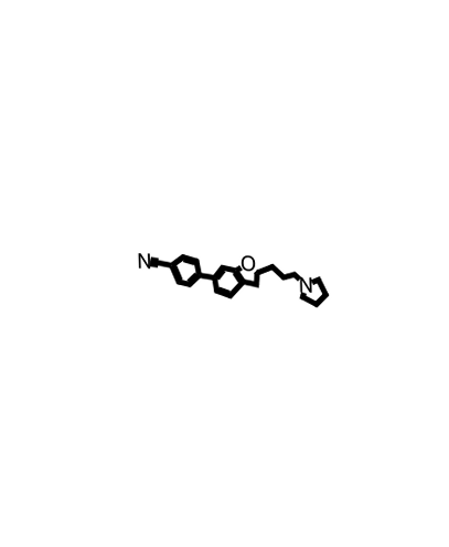 N#Cc1ccc(-c2ccc3c(c2)OC(CCCN2CCCC2)C3)cc1